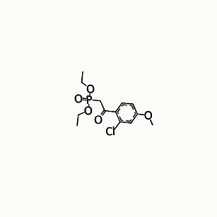 CCOP(=O)(CC(=O)c1ccc(OC)cc1Cl)OCC